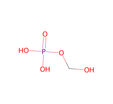 O=P(O)(O)OCO